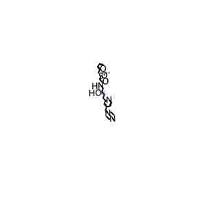 CN1CCN(Cc2ccnc(C/C=C(\O)CNC(=O)C[S+]([O-])Cc3ccco3)c2)CC1